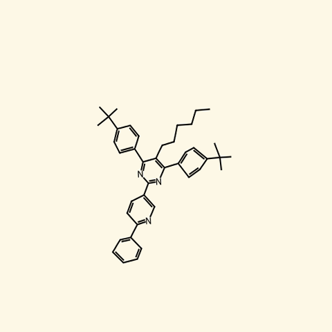 CCCCCCc1c(-c2ccc(C(C)(C)C)cc2)nc(-c2ccc(-c3ccccc3)nc2)nc1-c1ccc(C(C)(C)C)cc1